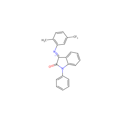 Cc1ccc(C(F)(F)F)cc1/N=C1/C(=O)N(c2ccccc2)c2ccccc21